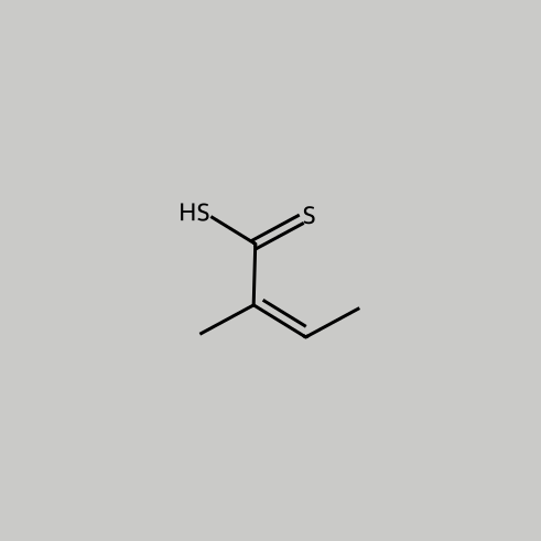 CC=C(C)C(=S)S